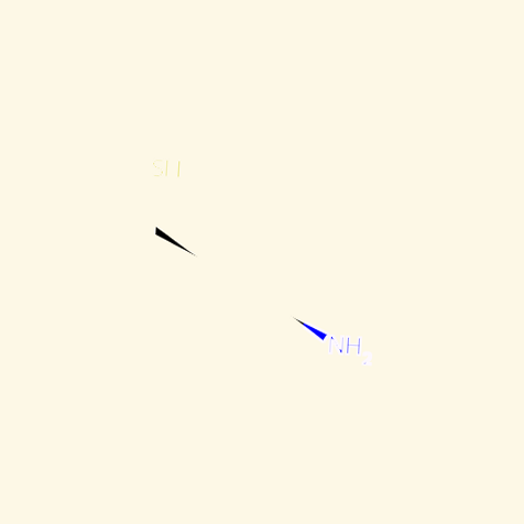 N[C@H]1C[C@@H](CS)C1